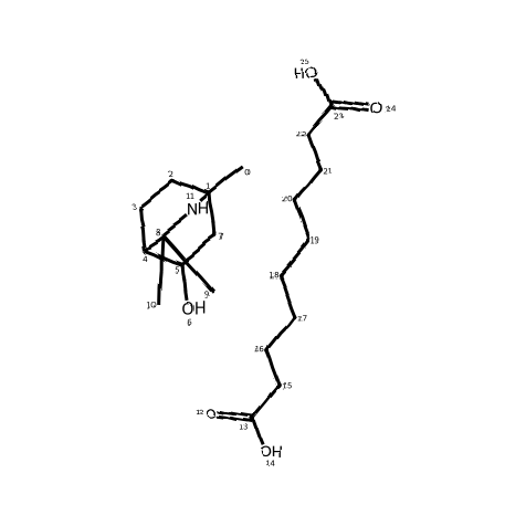 CC12CCC(C(O)C1)C(C)(C)N2.O=C(O)CCCCCCCCC(=O)O